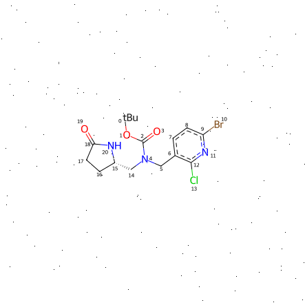 CC(C)(C)OC(=O)N(Cc1ccc(Br)nc1Cl)C[C@@H]1CCC(=O)N1